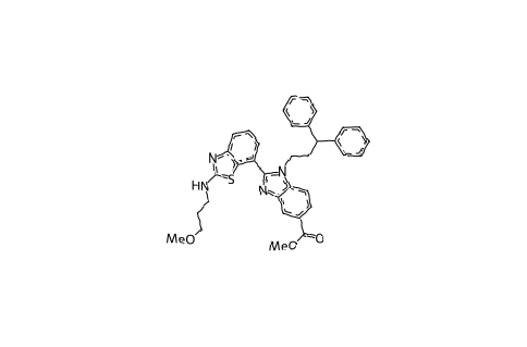 COCCCNc1nc2cccc(-c3nc4cc(C(=O)OC)ccc4n3CCC(c3ccccc3)c3ccccc3)c2s1